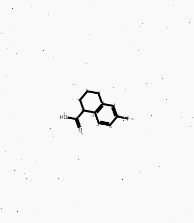 O=C(O)C1CCCc2cc(F)ccc21